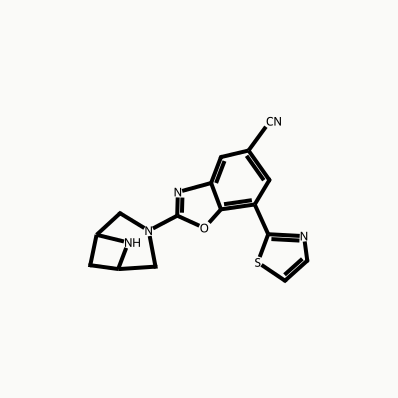 N#Cc1cc(-c2nccs2)c2oc(N3CC4CC(C3)N4)nc2c1